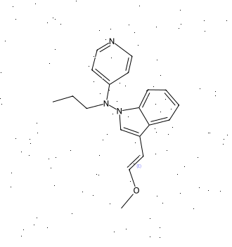 CCCN(c1ccncc1)n1cc(/C=C/OC)c2ccccc21